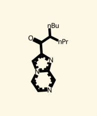 CCCCC(CCC)C(=O)c1cn2ccncc2n1